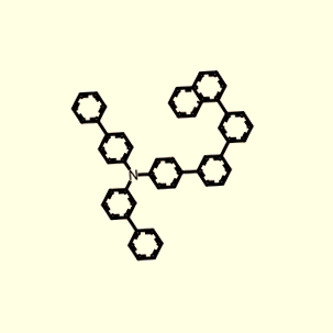 c1ccc(-c2ccc(N(c3ccc(-c4cccc(-c5cccc(-c6cccc7ccccc67)c5)c4)cc3)c3cccc(-c4ccccc4)c3)cc2)cc1